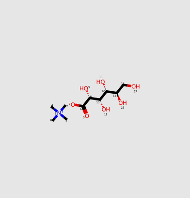 C[N+](C)(C)C.O=C([O-])[C@H](O)[C@@H](O)[C@H](O)[C@H](O)CO